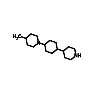 CC1CCN(C2CCC(C3CCNCC3)CC2)CC1